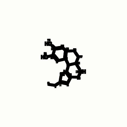 CCc1cc2c(s1)C1c3cc(O)c(O)cc3CCC1NC2